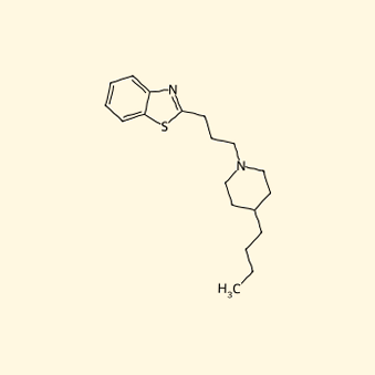 CCCCC1CCN(CCCc2nc3ccccc3s2)CC1